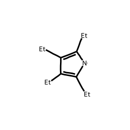 CCC1=C(CC)C(CC)=C(CC)[N]1